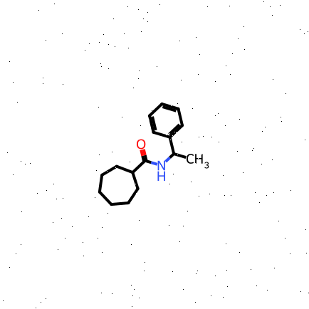 CC(NC(=O)C1CCCCCC1)c1ccccc1